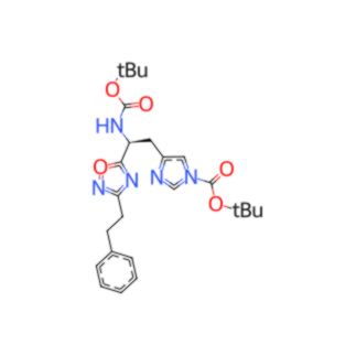 CC(C)(C)OC(=O)N[C@@H](Cc1cn(C(=O)OC(C)(C)C)cn1)c1nc(CCc2ccccc2)no1